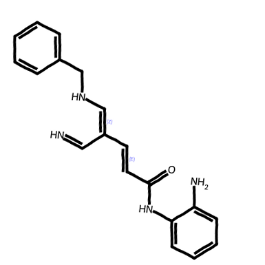 N=CC(=C\NCc1ccccc1)/C=C/C(=O)Nc1ccccc1N